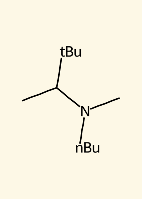 CCCCN(C)C(C)C(C)(C)C